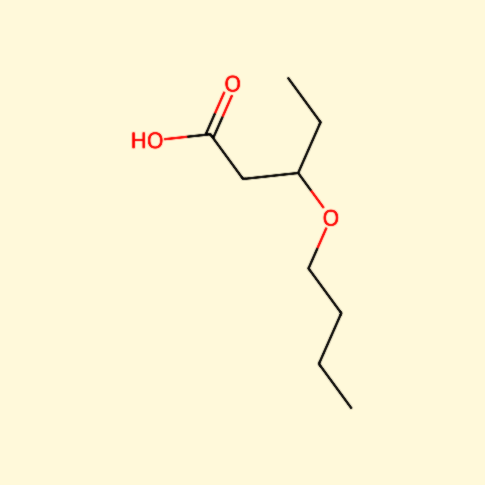 CCCCOC(CC)CC(=O)O